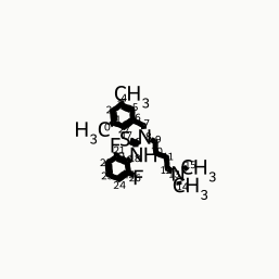 Cc1cc(C)cc(CN(CCCCN(C)C)C(=S)Nc2c(F)cccc2F)c1